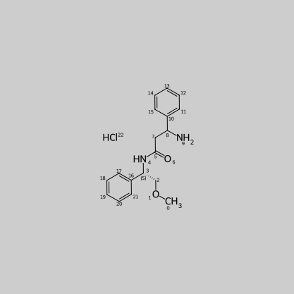 COC[C@@H](NC(=O)CC(N)c1ccccc1)c1ccccc1.Cl